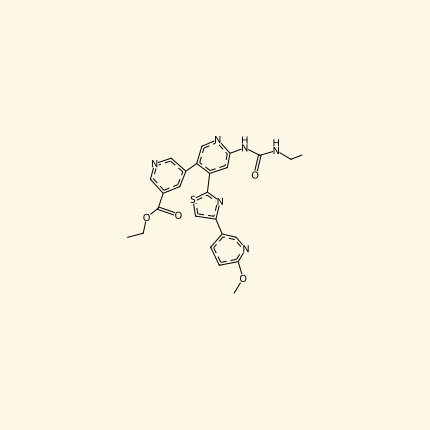 CCNC(=O)Nc1cc(-c2nc(-c3ccc(OC)nc3)cs2)c(-c2cncc(C(=O)OCC)c2)cn1